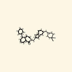 CC1(C)CCN(Cc2ccc3nc(Cn4ccc5c(-c6ccccc6)cncc5c4=O)cn3c2)CC1